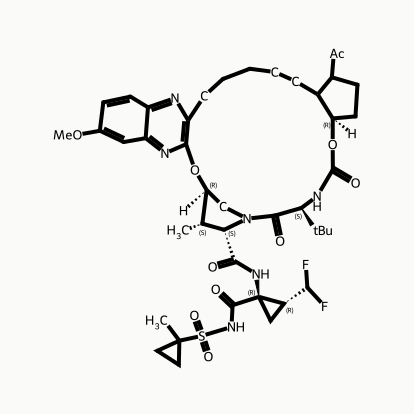 COc1ccc2nc3c(nc2c1)O[C@H]1CN(C(=O)[C@H](C(C)(C)C)NC(=O)O[C@@H]2CCC(C(C)=O)C2CCCCC3)[C@H](C(=O)N[C@]2(C(=O)NS(=O)(=O)C3(C)CC3)C[C@H]2C(F)F)[C@@H]1C